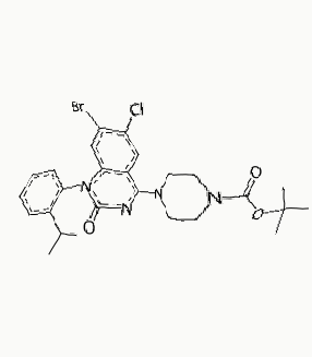 CC(C)c1ccccc1-n1c(=O)nc(N2CCN(C(=O)OC(C)(C)C)CC2)c2cc(Cl)c(Br)cc21